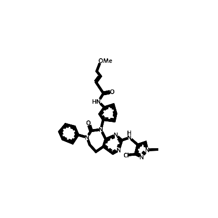 COC/C=C/C(=O)Nc1cccc(N2C(=O)N(c3ccccc3)CCc3cnc(Nc4cn(C)nc4Cl)nc32)c1